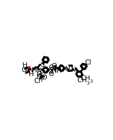 CC1(C)CCC(CN2CCN(c3ccc(C(=O)NS(=O)(=O)c4ccc(NC(CCN5C[C@H]6C[C@H]5CO6)CSc5ccccc5)c(S(=O)(=O)C(F)(F)Cl)c4)cc3)CC2)=C(c2ccc(Cl)cc2)C1